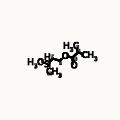 CC(C)C(=O)OCC[SiH](C)C